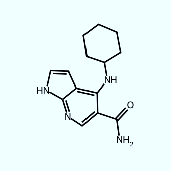 NC(=O)c1cnc2[nH]ccc2c1NC1CCCCC1